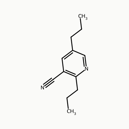 CCCc1cnc(CCC)c(C#N)c1